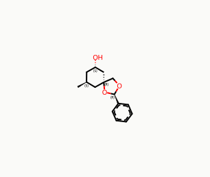 C[C@H]1C[C@H](O)C[C@@]2(CO[C@@H](c3ccccc3)O2)C1